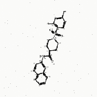 Cc1ccc(S(=O)(=O)N2CCC(C(=O)Nc3cnc4ccccc4c3)CC2)c(C)c1